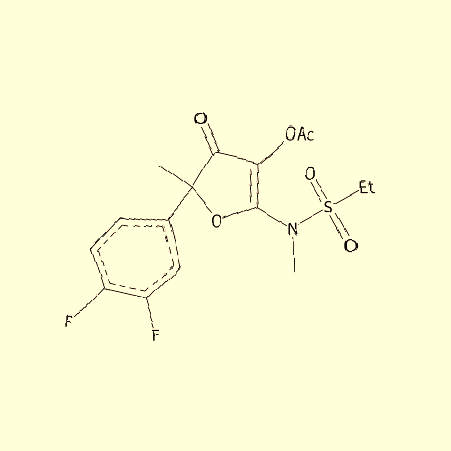 CCS(=O)(=O)N(C)C1=C(OC(C)=O)C(=O)C(C)(c2ccc(F)c(F)c2)O1